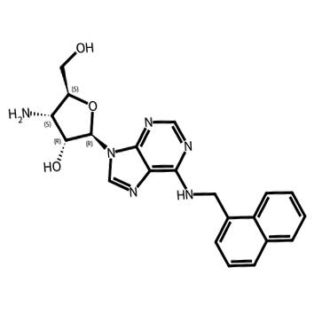 N[C@H]1[C@@H](O)[C@H](n2cnc3c(NCc4cccc5ccccc45)ncnc32)O[C@@H]1CO